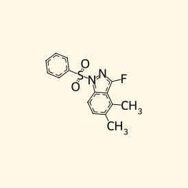 Cc1ccc2c(c(F)nn2S(=O)(=O)c2ccccc2)c1C